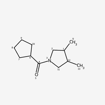 CC1CN(C(=O)C2CCCC2)CC1C